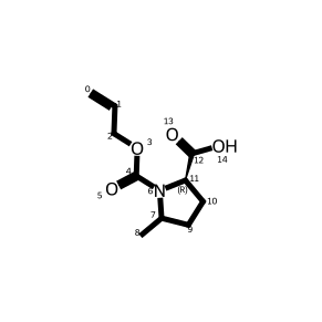 C=CCOC(=O)N1C(C)CC[C@@H]1C(=O)O